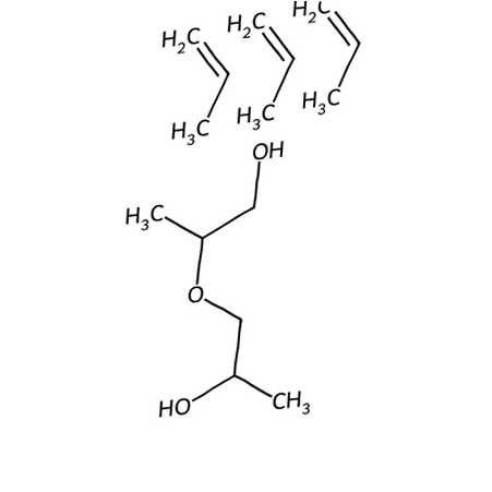 C=CC.C=CC.C=CC.CC(O)COC(C)CO